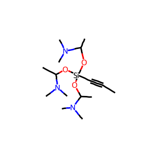 CC#C[Si](OC(C)N(C)C)(OC(C)N(C)C)OC(C)N(C)C